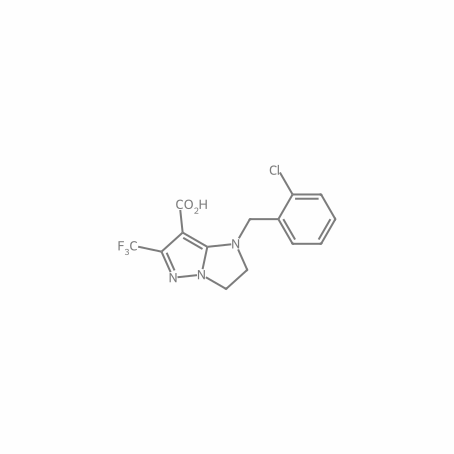 O=C(O)c1c(C(F)(F)F)nn2c1N(Cc1ccccc1Cl)CC2